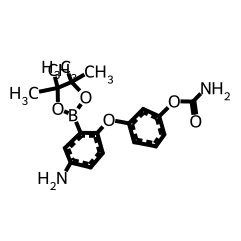 CC1(C)OB(c2cc(N)ccc2Oc2cccc(OC(N)=O)c2)OC1(C)C